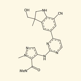 CNC(=O)c1c(Nc2nccc(-c3cc(C#N)c4c(c3)C(C)(CO)CN4)n2)cnn1C